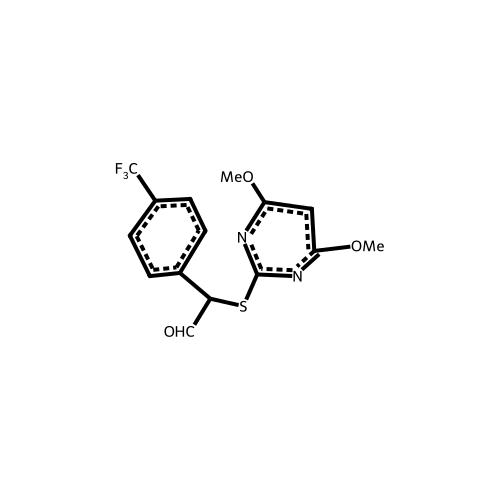 COc1cc(OC)nc(SC(C=O)c2ccc(C(F)(F)F)cc2)n1